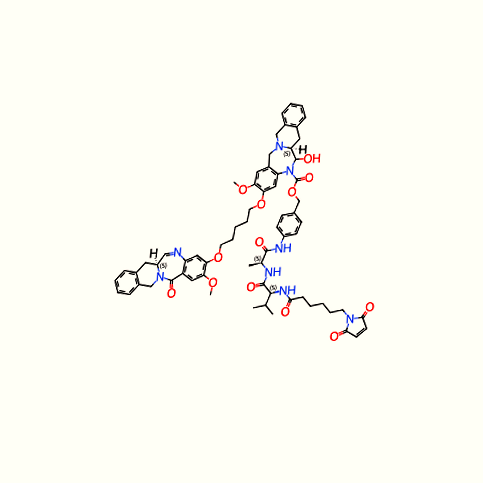 COc1cc2c(cc1OCCCCCOc1cc3c(cc1OC)CN1Cc4ccccc4C[C@H]1C(O)N3C(=O)OCc1ccc(NC(=O)[C@H](C)NC(=O)[C@@H](NC(=O)CCCCCN3C(=O)C=CC3=O)C(C)C)cc1)N=C[C@@H]1Cc3ccccc3CN1C2=O